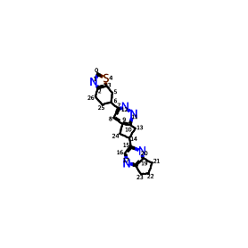 c1nc2c(s1)CC(c1cc3c(nn1)CC(c1cnc4c(n1)CCC4)C3)CC2